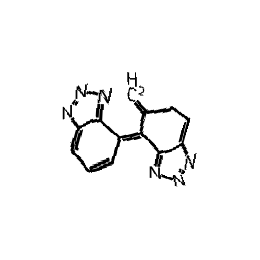 C=C1CC=C2N=NN=C2C1=c1cccc2c1=NN=N2